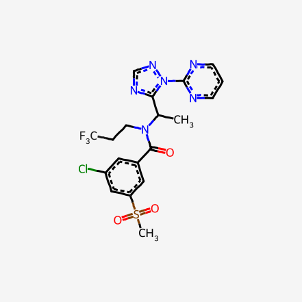 CC(c1ncnn1-c1ncccn1)N(CCC(F)(F)F)C(=O)c1cc(Cl)cc(S(C)(=O)=O)c1